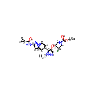 Cn1ncc(O[C@H]2CN(C(=O)OC(C)(C)C)C[C@@H]2F)c1-c1ccn2nc(NC(=O)C3CC3)cc2c1